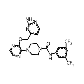 Nc1nccc(COc2nccnc2N2CCN(C(=O)Nc3cc(C(F)(F)F)cc(C(F)(F)F)c3)CC2)n1